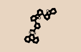 c1cc(-c2cnc3c4ccccc4c4ccccc4c3n2)cc(-c2cccc3c2oc2c(-c4cccc5c4oc4ccccc45)cccc23)c1